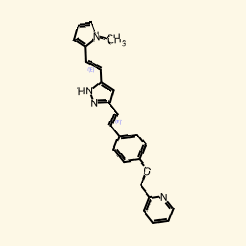 Cn1cccc1/C=C/c1cc(/C=C/c2ccc(OCc3ccccn3)cc2)n[nH]1